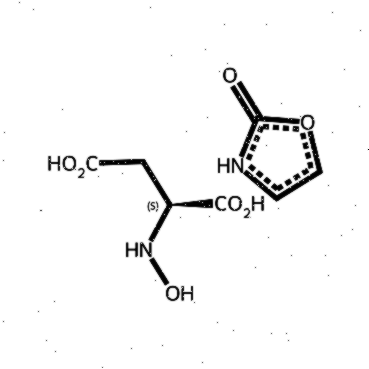 O=C(O)C[C@H](NO)C(=O)O.O=c1[nH]cco1